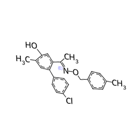 C/C(=N\OCc1ccc(C)cc1)c1cc(O)c(C)cc1-c1ccc(Cl)cc1